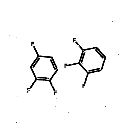 Fc1ccc(F)c(F)c1.Fc1cccc(F)c1F